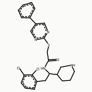 O=C(CSc1ncc(-c2ccccc2)cn1)NC(Cc1cccc(Cl)c1Cl)C1CCCNC1